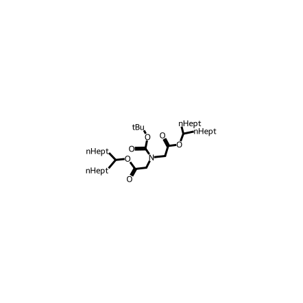 CCCCCCCC(CCCCCCC)OC(=O)CN(CC(=O)OC(CCCCCCC)CCCCCCC)C(=O)OC(C)(C)C